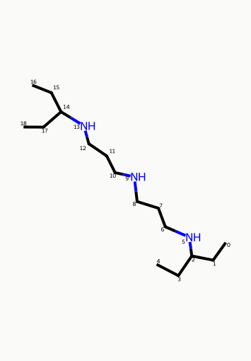 CCC(CC)NCCCNCCCNC(CC)CC